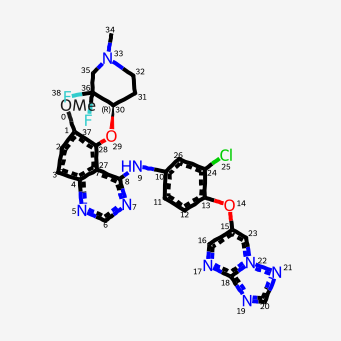 COc1ccc2ncnc(Nc3ccc(Oc4cnc5ncnn5c4)c(Cl)c3)c2c1O[C@@H]1CCN(C)CC1(F)F